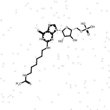 CC(=S)NCCCCCCNc1nc2c(ncn2[C@@H]2O[C@H](COP(=O)(O)O)C(O)[C@@H]2O)c(=S)[nH]1